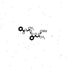 COCOC(C)CC(=O)c1ccccc1OCOC(C)COC(=O)c1ccccc1